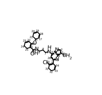 Bc1cnn2c(NCCCNC(=O)C3=C(OC4C=CC=CC4)C=CCC3)cc(C3=C(Cl)CCC=C3)nc12